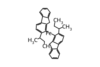 CCC(C)c1ccc2c([c]1[Fe][c]1c(C(C)CC)ccc3c1Cc1ccccc1-3)Cc1ccccc1-2